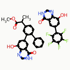 COC(=O)C(C)c1ccc(-c2ccccc2)c(-c2cc(O)c3nc[nH]c(=O)c3c2)c1.O=c1[nH]cnc2c(O)cc(-c3c(F)c(F)c(F)c(F)c3F)cc12